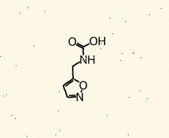 O=C(O)NCc1ccno1